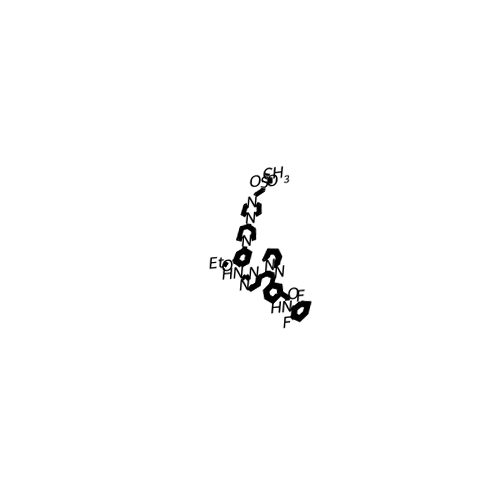 CCOc1cc(N2CCC(N3CCN(CCS(C)(=O)=O)CC3)CC2)ccc1Nc1nccc(-c2c(-c3cccc(C(=O)Nc4c(F)cccc4F)c3)nc3ccccn23)n1